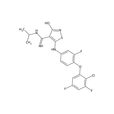 CC(C)NC(=N)c1c(O)nsc1Nc1ccc(Oc2cc(F)cc(F)c2Cl)c(F)c1